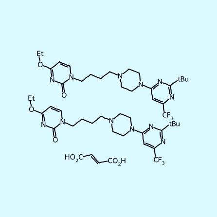 CCOc1ccn(CCCCN2CCN(c3cc(C(F)(F)F)nc(C(C)(C)C)n3)CC2)c(=O)n1.CCOc1ccn(CCCCN2CCN(c3cc(C(F)(F)F)nc(C(C)(C)C)n3)CC2)c(=O)n1.O=C(O)C=CC(=O)O